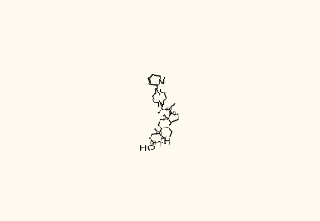 CC([C@@H](C)[C@H]1CC=C2C3=C(CC[C@@]21C)[C@@]1(C)CC[C@H](O)C(C)(C)[C@@H]1CC3)N1CCN(c2ccccn2)CC1